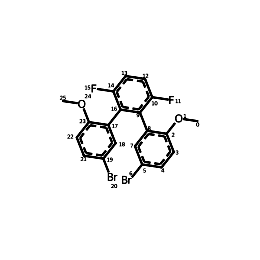 COc1ccc(Br)cc1-c1c(F)ccc(F)c1-c1cc(Br)ccc1OC